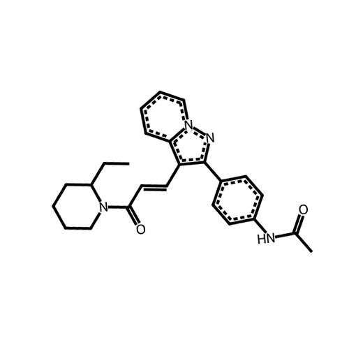 CCC1CCCCN1C(=O)C=Cc1c(-c2ccc(NC(C)=O)cc2)nn2ccccc12